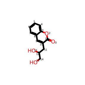 O=c1oc2ccccc2cc1CC(O)CO